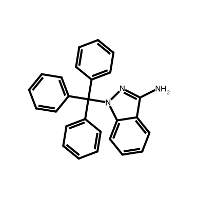 Nc1nn(C(c2ccccc2)(c2ccccc2)c2ccccc2)c2ccccc12